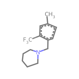 Cc1ccc(CN2CCCCC2)c(C(F)(F)F)c1